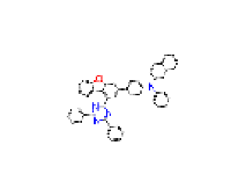 c1ccc(-c2nc(-c3ccccc3)nc(-c3cc(-c4ccc(N(c5ccccc5)c5ccc6ccccc6c5)cc4)cc4oc5ccccc5c34)n2)cc1